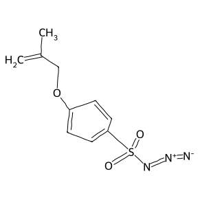 C=C(C)COc1ccc(S(=O)(=O)N=[N+]=[N-])cc1